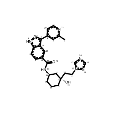 Cc1cc(-c2n[nH]c3ccc(C(=O)N[C@@H]4CCC[C@](O)(CCn5cncn5)C4)cc23)ccn1